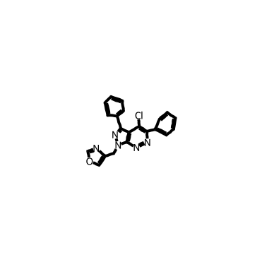 Clc1c(-c2ccccc2)nnc2c1c(-c1ccccc1)nn2Cc1cocn1